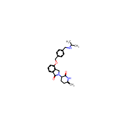 C=C1CCC(N2Cc3c(OCc4ccc(CNC(C)C)cc4)cccc3C2=O)C(=O)N1